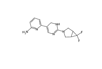 Nc1cccc(C2=CN=C(N3CC4C(C3)C4(F)F)NC2)n1